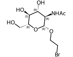 CC(=O)N[C@H]1[C@H](OCCBr)O[C@H](CO)[C@@H](O)[C@@H]1O